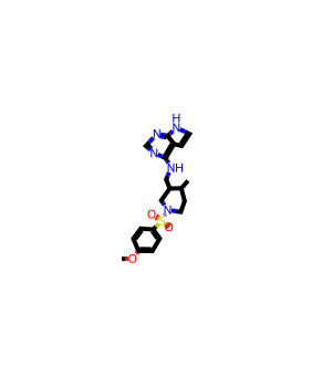 COc1ccc(S(=O)(=O)N2CCC(C)C(CNc3ncnc4[nH]ccc34)C2)cc1